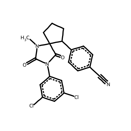 CN1C(=O)N(c2cc(Cl)cc(Cl)c2)C(=O)C12CCCC2c1ccc(C#N)cc1